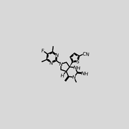 C=C1[C@@H]2CN(c3nc(C)c(F)c(C)n3)C[C@]2(c2ccc(C#N)s2)NC(=N)N1C